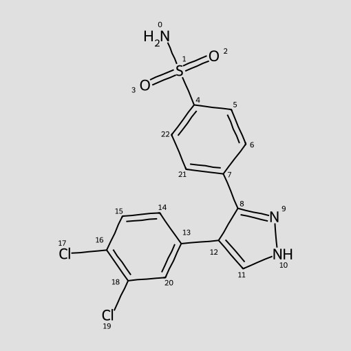 NS(=O)(=O)c1ccc(-c2n[nH]cc2-c2ccc(Cl)c(Cl)c2)cc1